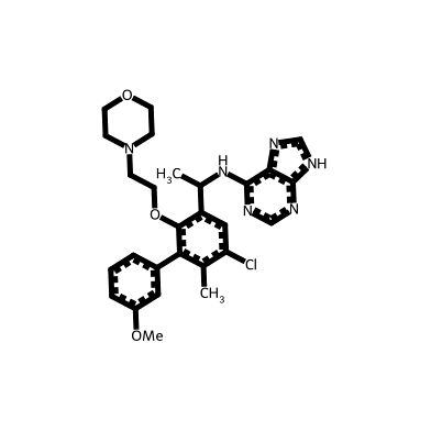 COc1cccc(-c2c(C)c(Cl)cc(C(C)Nc3ncnc4[nH]cnc34)c2OCCN2CCOCC2)c1